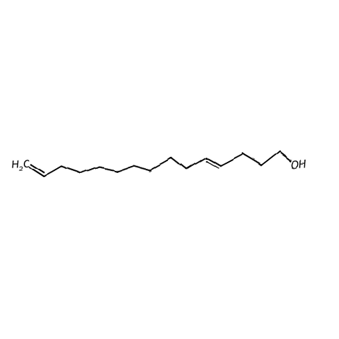 C=CCCCCCCCC/C=C/CCCO